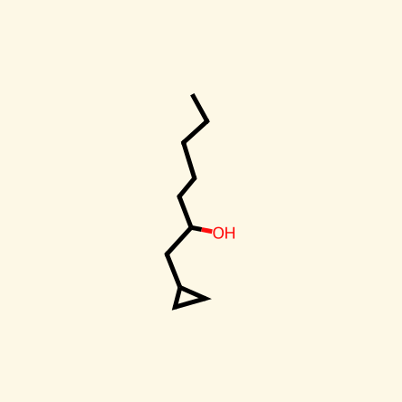 CCCCCC(O)CC1CC1